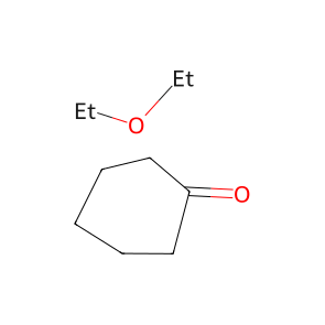 CCOCC.O=C1CCCCC1